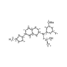 COc1cc(F)cc(N(C[C@@H](O)C(F)(F)F)c2ccc3ncc(-c4ccn(C)c4)nc3c2)c1